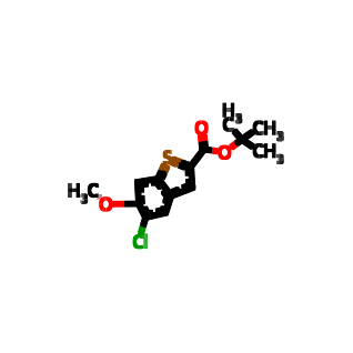 COc1cc2sc(C(=O)OC(C)(C)C)cc2cc1Cl